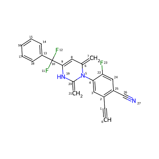 C#Cc1cc(N2C(=C)C=C(C(F)(F)c3ccccc3)NC2=C)c(F)cc1C#N